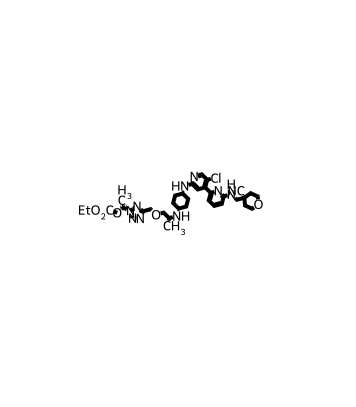 CCOC(=O)O[C@H](C)n1nnc(COCC(C)N[C@H]2CC[C@H](Nc3cc(-c4cccc(NCC5(C#N)CCOCC5)n4)c(Cl)cn3)CC2)n1